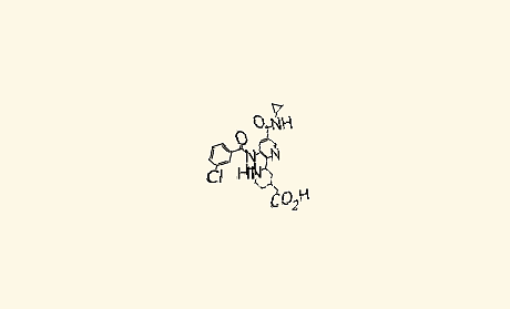 O=C(O)CC1CCNC(c2ncc(C(=O)NC3CC3)cc2NC(=O)c2cccc(Cl)c2)C1